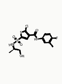 Cc1cc(NC(=O)c2cc(S(=O)(=O)N[C@H](C)CO)sc2Cl)ccc1F